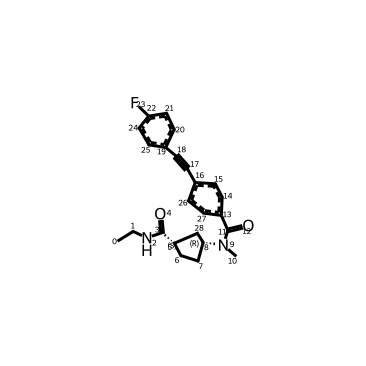 CCNC(=O)[C@H]1CC[C@@H](N(C)C(=O)c2ccc(C#Cc3ccc(F)cc3)cc2)C1